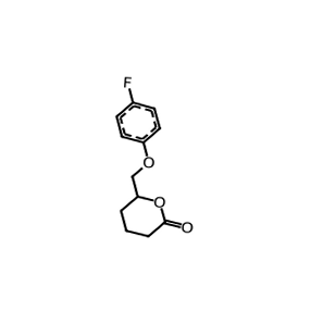 O=C1CCCC(COc2ccc(F)cc2)O1